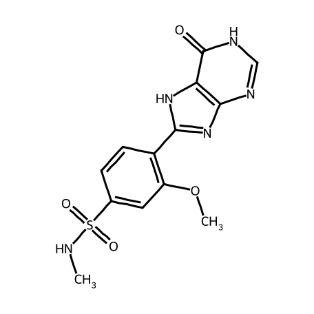 CNS(=O)(=O)c1ccc(-c2nc3nc[nH]c(=O)c3[nH]2)c(OC)c1